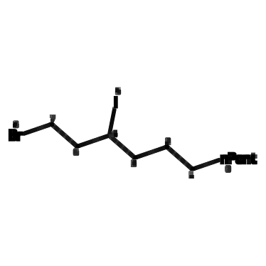 CCCCCCCCC(I)CCBr